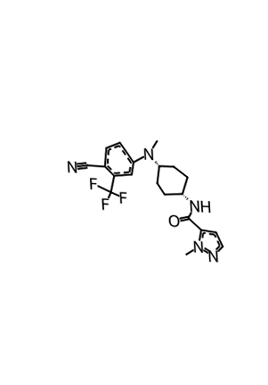 Cn1nccc1C(=O)N[C@H]1CC[C@@H](N(C)c2ccc(C#N)c(C(F)(F)F)c2)CC1